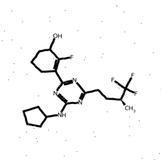 C[C@@H](CCc1nc(NC2CCCC2)nc(C2=C(F)C(O)CCC2)n1)C(F)(F)F